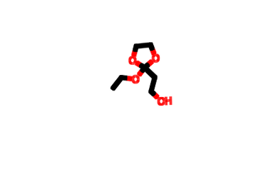 CCOC1(CCO)OCCO1